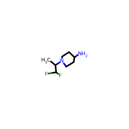 CC(C(F)F)N1CCC(N)CC1